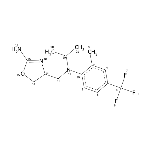 Cc1cc(C(F)(F)F)ccc1N(CC1COC(N)=N1)C(C)C